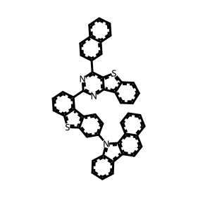 c1ccc2cc(-c3nc(-c4cccc5sc6cc(-n7c8ccccc8c8ccc9ccccc9c87)ccc6c45)nc4c3sc3ccccc34)ccc2c1